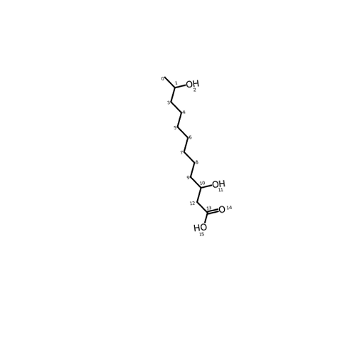 CC(O)CCCCCCCC(O)CC(=O)O